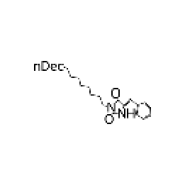 CCCCCCCCCCCCCCCCCCN1C(=O)N/C(=C\c2ccccc2)C1=O